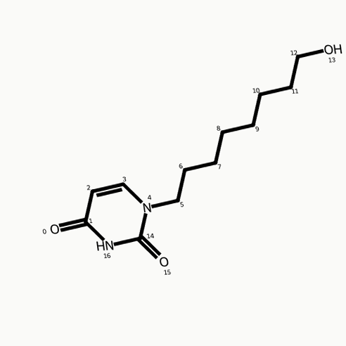 O=c1ccn(CCCCCCCCO)c(=O)[nH]1